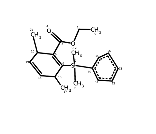 CCOC(=O)C1=C([Si](C)(C)c2ccccc2)C(C)C=CC1C